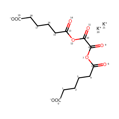 O=C([O-])CCCCC(=O)OC(=O)C(=O)OC(=O)CCCCC(=O)[O-].[K+].[K+]